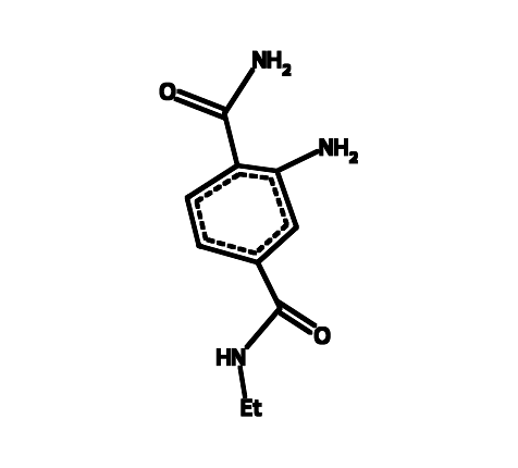 CCNC(=O)c1ccc(C(N)=O)c(N)c1